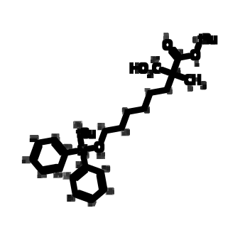 CC(C)(C)OC(=O)C(C)(CCCCCCO[Si](c1ccccc1)(c1ccccc1)C(C)(C)C)C(=O)O